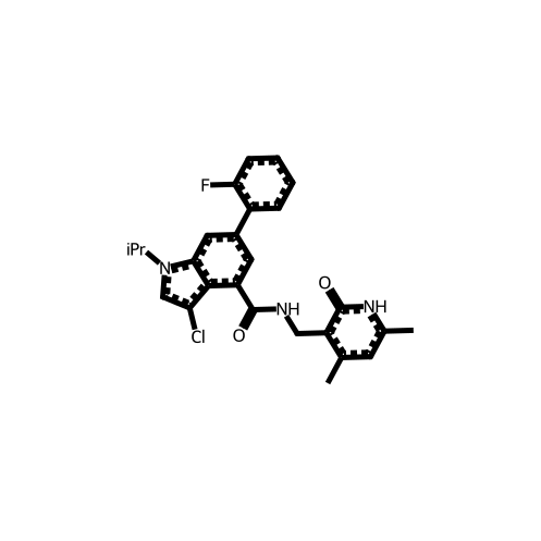 Cc1cc(C)c(CNC(=O)c2cc(-c3ccccc3F)cc3c2c(Cl)cn3C(C)C)c(=O)[nH]1